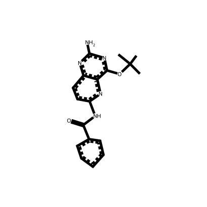 CC(C)(C)Oc1nc(N)nc2ccc(NC(=O)c3ccccc3)nc12